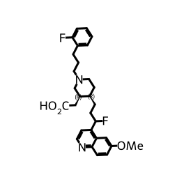 COc1ccc2nccc(C(F)CC[C@@H]3CCN(CCCc4ccccc4F)C[C@@H]3CC(=O)O)c2c1